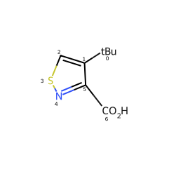 CC(C)(C)c1csnc1C(=O)O